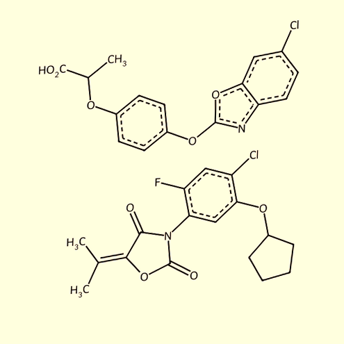 CC(C)=C1OC(=O)N(c2cc(OC3CCCC3)c(Cl)cc2F)C1=O.CC(Oc1ccc(Oc2nc3ccc(Cl)cc3o2)cc1)C(=O)O